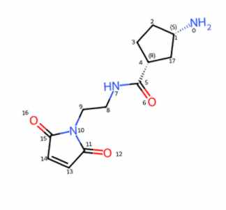 N[C@H]1CC[C@@H](C(=O)NCCN2C(=O)C=CC2=O)C1